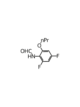 CCCOc1cc(F)cc(F)c1NC=O